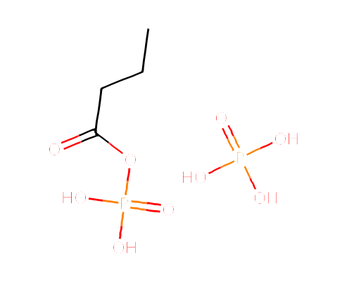 CCCC(=O)OP(=O)(O)O.O=P(O)(O)O